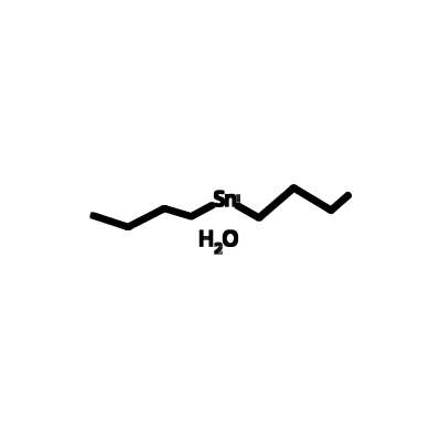 CCC[CH2][Sn][CH2]CCC.O